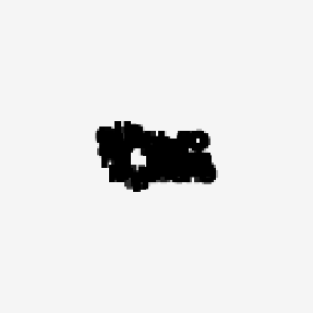 CC[C@H](C)[C@@H]1NC(=O)CNC(=O)C(NS(=O)(=O)c2ccccc2[N+](=O)[O-])Cc2c([nH]c3ccccc23)SCC(C(=O)NC(CC(N)=O)C(=O)N2CC(OC3CCCCCCC3)C[C@H]2C(=O)N[C@H](C(=O)O)[C@@H](C)[C@H](COC(C)=O)OC(C)=O)NC(=O)CNC1=O